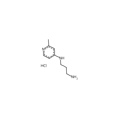 Cc1cc(NCCCN)ccn1.Cl